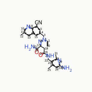 C=CN(Cc1cc(C#N)c2ncc(C)cc2c1)/N=C(\CC(=O)NCc1c(C)cc(N)nc1C)C(N)=O